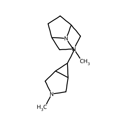 CN1CC2C(C1)C2CN1C2CCC1CN(C)C2